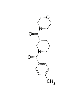 Cc1ccc(C(=O)N2CCCC(C(=O)N3CCOCC3)C2)cc1